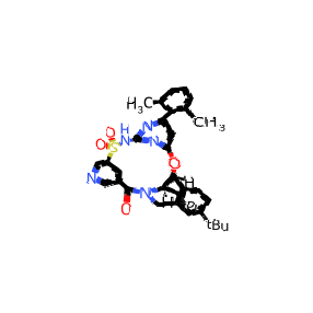 Cc1cccc(C)c1-c1cc2nc(n1)NS(=O)(=O)c1cncc(c1)C(=O)N1Cc3cc(C(C)(C)C)ccc3[C@@H](O2)[C@H]1CC(C)C